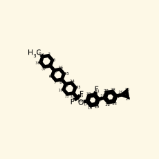 CC1CCC(C2CCC(C3CCC(C(F)(F)Oc4ccc(-c5ccc(C6CC6)cc5)c(F)c4)CC3)CC2)CC1